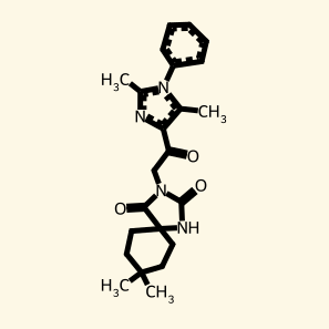 Cc1nc(C(=O)CN2C(=O)NC3(CCC(C)(C)CC3)C2=O)c(C)n1-c1ccccc1